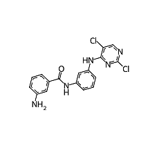 Nc1cccc(C(=O)Nc2cccc(Nc3nc(Cl)ncc3Cl)c2)c1